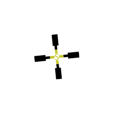 C#CS(C#C)(C#C)C#C